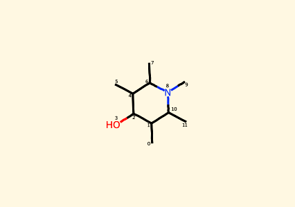 CC1C(O)C(C)C(C)N(C)C1C